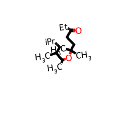 CCC(=O)CCC(C)(C)OC(C)C(C)CC(C)C